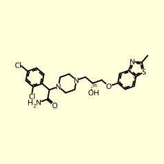 Cc1nc2cc(OC[C@H](O)CN3CCN(C(C(N)=O)c4ccc(Cl)cc4Cl)CC3)ccc2s1